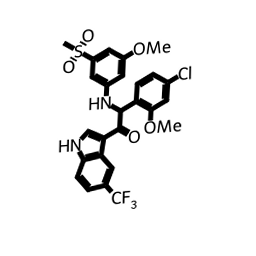 COc1cc(NC(C(=O)c2c[nH]c3ccc(C(F)(F)F)cc23)c2ccc(Cl)cc2OC)cc(S(C)(=O)=O)c1